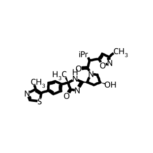 Cc1cc(C(C(=O)N2C[C@H](O)C[C@H]2C2=NC(=O)[C@](C)(c3ccc(-c4scnc4C)cc3)N2)C(C)C)on1